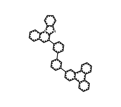 c1cc(-c2cccc(-c3cc4ccccc4n4c3nc3ccccc34)c2)cc(-c2ccc3c4ccccc4c4ccccc4c3c2)c1